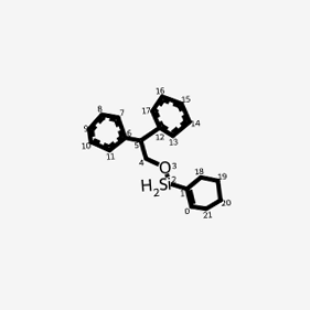 C1=C([SiH2]OCC(c2ccccc2)c2ccccc2)CCCC1